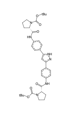 CC(C)(C)OC(=O)N1CCC[C@H]1C(=O)Nc1ccc(-c2cc(-c3ccc(NC(=O)[C@@H]4CCCN4C(=O)OC(C)(C)C)cc3)[nH]n2)cc1